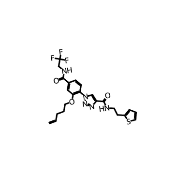 C=CCCCOc1cc(C(=O)NCC(F)(F)F)ccc1-n1cc(C(=O)NCCc2cccs2)nn1